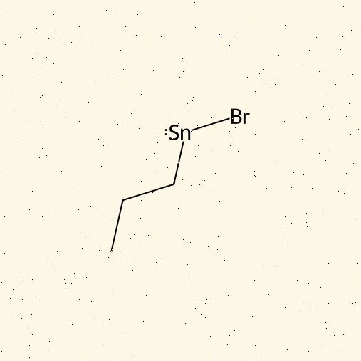 CC[CH2][Sn][Br]